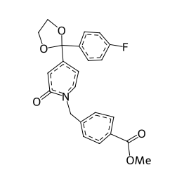 COC(=O)c1ccc(Cn2ccc(C3(c4ccc(F)cc4)OCCO3)cc2=O)cc1